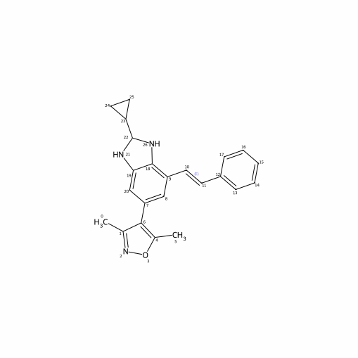 Cc1noc(C)c1-c1cc(/C=C/c2ccccc2)c2c(c1)NC(C1CC1)N2